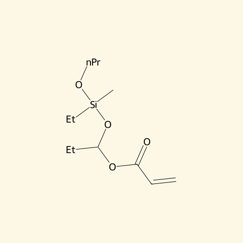 C=CC(=O)OC(CC)O[Si](C)(CC)OCCC